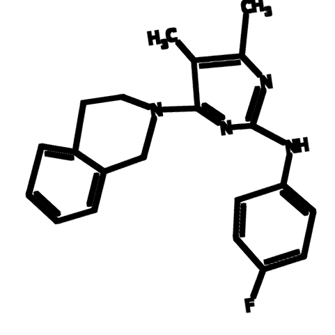 Cc1nc(Nc2ccc(F)cc2)nc(N2CCc3ccccc3C2)c1C